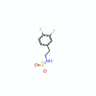 O=[SH](=O)NCCc1ccc(F)c(F)c1